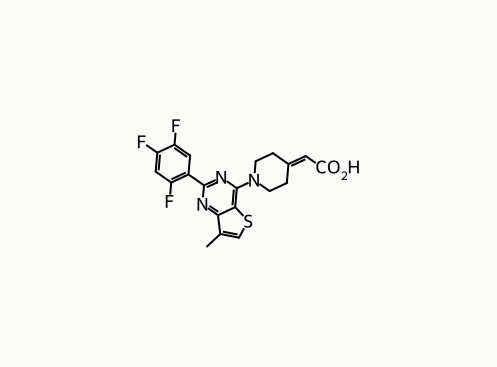 Cc1csc2c(N3CCC(=CC(=O)O)CC3)nc(-c3cc(F)c(F)cc3F)nc12